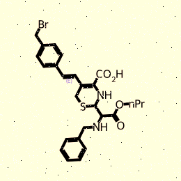 CCCOC(=O)C(NCc1ccccc1)C1NC(C(=O)O)=C(/C=C/c2ccc(CBr)cc2)CS1